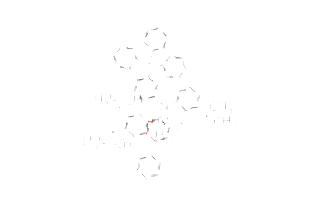 CC1(C)CCC(C)(C)c2c(-c3cc4c(cc3N(c3ccc(-c5ccccc5)cc3)c3cccc5c3C(C)(C)CCC5(C)C)C(c3ccccc3)(c3ccccc3)c3ccccc3-4)cccc21